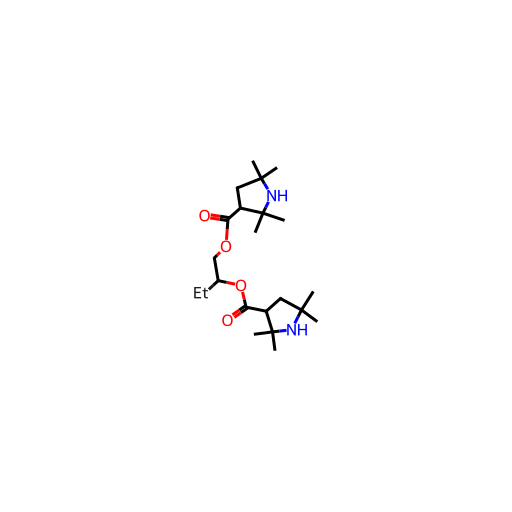 CCC(COC(=O)C1CC(C)(C)NC1(C)C)OC(=O)C1CC(C)(C)NC1(C)C